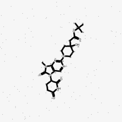 Cn1c(=O)n(C2CCC(=O)NC2=O)c2cnc(N3CCC(O)(CC(=O)OC(C)(C)C)CC3)nc21